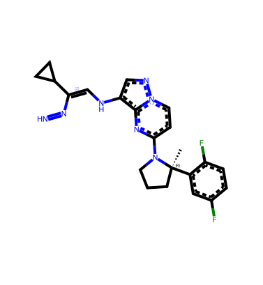 C[C@]1(c2cc(F)ccc2F)CCCN1c1ccn2ncc(N/C=C(\N=N)C3CC3)c2n1